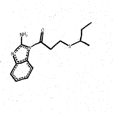 CCC(C)SCCC(=O)n1c(N)nc2ccccc21